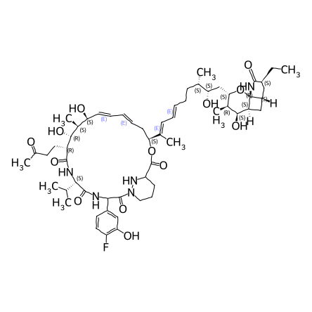 CC[C@H]1C[C@@H]2C[C@H]3[C@@H](O)[C@@H](C)[C@H](C[C@H](O)[C@@H](C)CC/C=C/C=C(\C)[C@@H]4C/C=C/C=C/[C@H](O)[C@H](C)[C@@H](O)[C@@H](CCC(C)=O)C(=O)N[C@@H](C(C)C)C(=O)NC(c5ccc(F)c(O)c5)C(=O)N5CCCC(N5)C(=O)O4)O[C@]23NC1=O